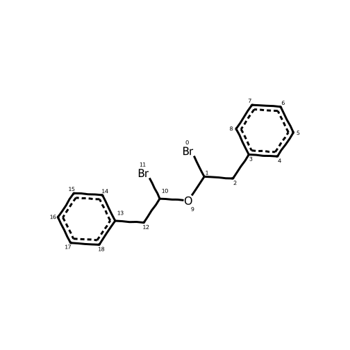 BrC(Cc1ccccc1)OC(Br)Cc1ccccc1